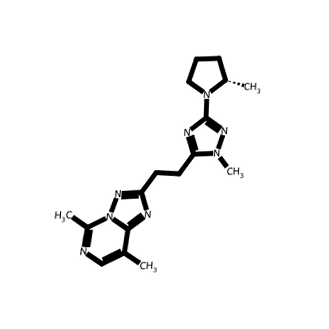 Cc1cnc(C)n2nc(CCc3nc(N4CCC[C@@H]4C)nn3C)nc12